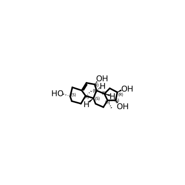 C[C@]12CC[C@H]3[C@@H]([C@@H](O)C=C4C[C@@H](O)CC[C@@]43C)[C@@H]1C[C@@H](O)[C@H]2O